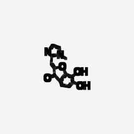 Cn1ccnc1C=C1Oc2c(ccc(O)c2O)C1=O